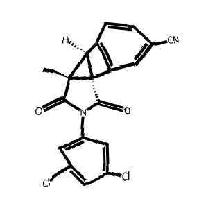 C[C@]12C(=O)N(c3cc(Cl)cc(Cl)c3)C(=O)[C@]13c1cc(C#N)ccc1[C@H]23